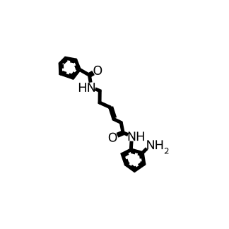 Nc1ccccc1NC(=O)CC=CCCNC(=O)c1ccccc1